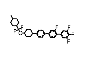 CC1CCC(C(F)(F)OC2CCC(c3ccc(-c4ccc(-c5cc(F)c(F)c(F)c5)c(F)c4)cc3)CC2)CC1